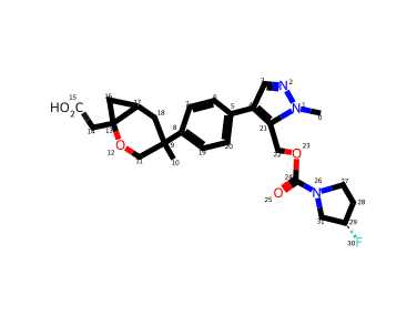 Cn1ncc(-c2ccc(C3(C)COC4(CC(=O)O)CC4C3)cc2)c1COC(=O)N1CC[C@H](F)C1